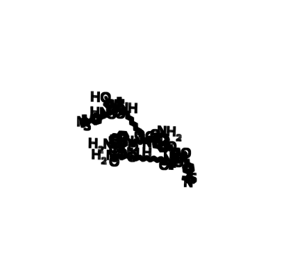 Cc1ncsc1-c1ccc(CNC(=O)[C@@H]2C[C@@H](O)CN2C(=O)[C@@H](NC(=O)CCCCCCCOC[C@H](CCC(N)=O)NC(=O)[C@@H]2Cc3ccc(O[C@@H]4C[C@@H](C(=O)NCc5ccc(-c6scnc6C)cc5)N(C(=O)[C@@H](NC(=O)CCCCCCCCOC[C@H](CCC(N)=O)NC(=O)[C@@H]5Cc6cccc7c6N5C(=O)[C@@H](N)CC7)C(C)(C)C)C4)c4c3N2C(=O)[C@@H](N)CC4)C(C)(C)C)cc1